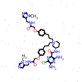 Cn1cncc1CNC(=O)COc1ccc(CCC[N+]2(CCCc3ccc(OCC(=O)NCc4cncn4C)cc3)CCC[C@H](NC(=O)c3nc(Cl)c(N)nc3N)C2)cc1